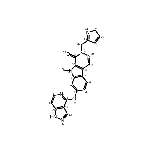 Cn1c2cc(Oc3nccc4[nH]ncc34)ccc2c2cnn(CC3=NCC=C3)c(=O)c21